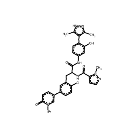 Cc1n[nH]c(C)c1-c1ccc(NC(=O)C(Cc2cc(-c3ccc(=O)n(C(C)C)c3)ccc2Cl)NC(=O)c2ccnn2C)cc1O